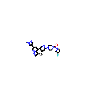 Cn1cc(-c2cc(-c3ccc(N4CCN(C(=O)N5CC[C@@H](F)C5)CC4)nc3)c3c(C#N)cnn3c2)cn1